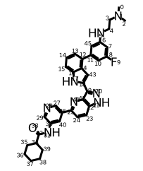 CN(C)CCNc1cc(F)cc(-c2cccc3[nH]c(-c4n[nH]c5ccc(-c6cncc(NC(=O)C7CCCCC7)c6)nc45)cc23)c1